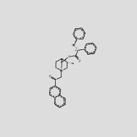 O=C(C[N+]12CCC(CC1)[C@@H](OC(=O)[C@H](Nc1ccccc1)c1ccccc1)C2)c1ccc2ccccc2c1